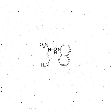 NCCN(O)[N+](=O)[O-].c1ccc2ncccc2c1